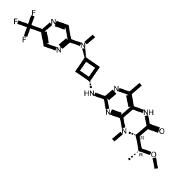 CO[C@H](C)[C@H]1C(=O)Nc2c(C)nc(N[C@H]3C[C@H](N(C)c4cnc(C(F)(F)F)cn4)C3)nc2N1C